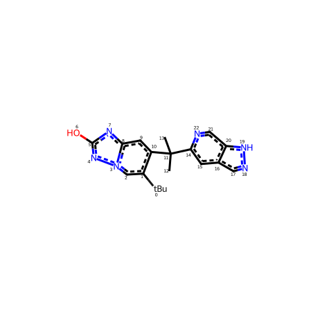 CC(C)(C)c1cn2nc(O)nc2cc1C(C)(C)c1cc2cn[nH]c2cn1